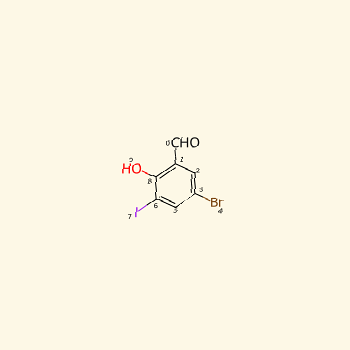 O=Cc1cc(Br)cc(I)c1O